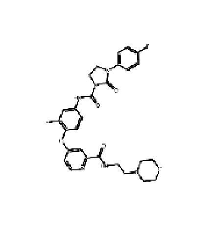 O=C(NCCN1CCOCC1)c1cc(Oc2ccc(NC(=O)N3CCN(c4ccc(F)cc4)C3=O)cc2F)ccn1